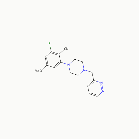 COc1cc(F)c(C#N)c(N2CCN(Cc3cccnn3)CC2)c1